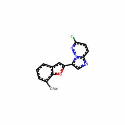 COc1cccc2cc(-c3cnc4ccc(Cl)nn34)oc12